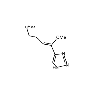 CCCCCCCCC=C(OC)c1c[nH]nn1